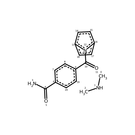 CNC.NC(=O)c1ccc(C(=O)n2c3ccc2cc3)cc1